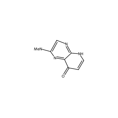 CNc1cnc2[nH]ccc(=O)c2n1